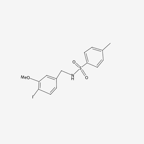 COc1cc(CNS(=O)(=O)c2ccc(C)cc2)ccc1I